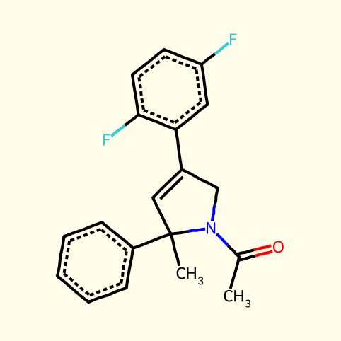 CC(=O)N1CC(c2cc(F)ccc2F)=CC1(C)c1ccccc1